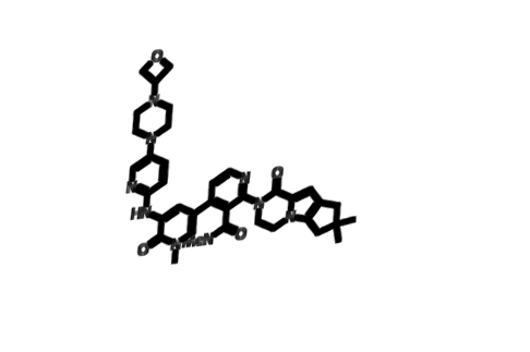 CNC(=O)c1c(-c2cc(Nc3ccc(N4CCN(C5COC5)CC4)cn3)c(=O)n(C)c2)ccnc1N1CCn2c(cc3c2CC(C)(C)C3)C1=O